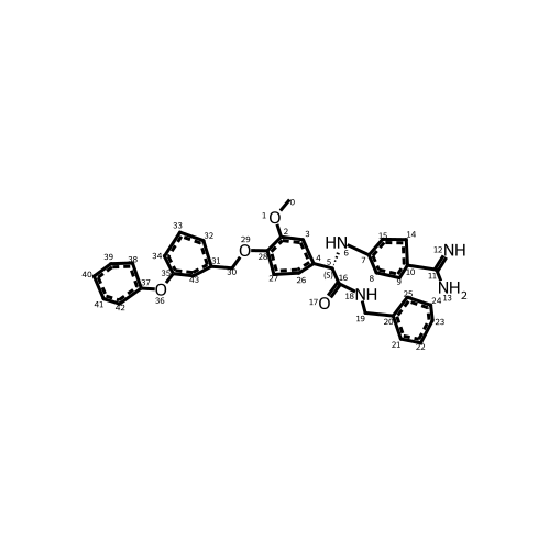 COc1cc([C@H](Nc2ccc(C(=N)N)cc2)C(=O)NCc2ccccc2)ccc1OCc1cccc(Oc2ccccc2)c1